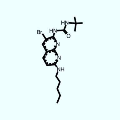 CCCCCNc1ccc2cc(Br)c(NC(=O)NC(C)(C)C)nc2n1